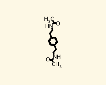 CC(=O)NCCc1ccc(CCNC(C)=O)cc1